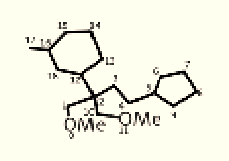 COCC(CCC1CCCC1)(COC)C1CCCC(C)C1